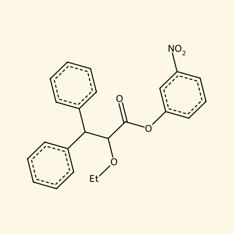 CCOC(C(=O)Oc1cccc([N+](=O)[O-])c1)C(c1ccccc1)c1ccccc1